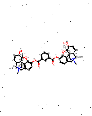 CN1CC[C@@]23c4c5ccc(OC(=O)c6cccc(C(=O)Oc7ccc8c9c7O[C@H]7[C@H](O)C=CC%10[C@H](C8)N(C)CC[C@]9%107)c6)c4O[C@@H]2C(O)C=CC3[C@@H]1C5